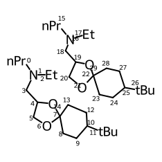 CCCN(CC)CC1COC2(CCC(C(C)(C)C)CC2)O1.CCCN(CC)CC1COC2(CCC(C(C)(C)C)CC2)O1